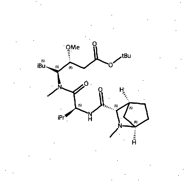 CC[C@H](C)[C@@H]([C@@H](CC(=O)OC(C)(C)C)OC)N(C)C(=O)[C@@H](NC(=O)[C@@H]1[C@H]2CC[C@H](C2)N1C)C(C)C